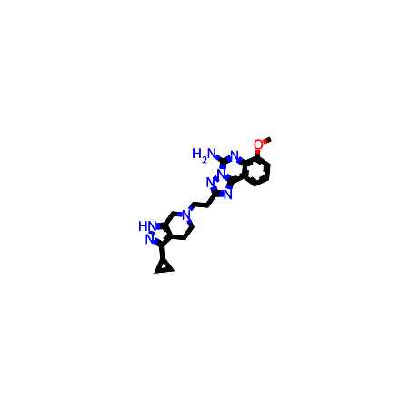 COc1cccc2c1nc(N)n1nc(CCN3CCc4c(C5CC5)n[nH]c4C3)nc21